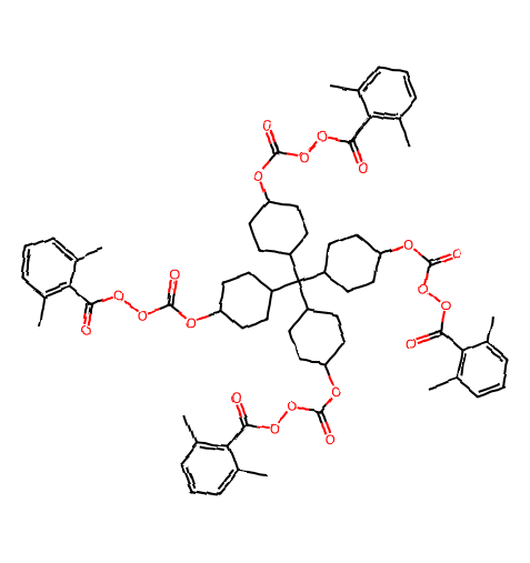 Cc1cccc(C)c1C(=O)OOC(=O)OC1CCC(C(C2CCC(OC(=O)OOC(=O)c3c(C)cccc3C)CC2)(C2CCC(OC(=O)OOC(=O)c3c(C)cccc3C)CC2)C2CCC(OC(=O)OOC(=O)c3c(C)cccc3C)CC2)CC1